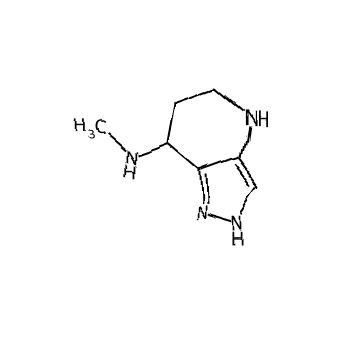 CNC1CCNc2c[nH]nc21